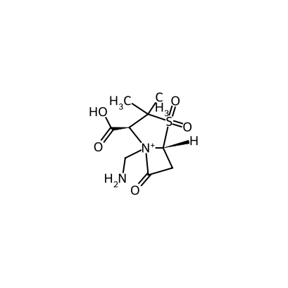 CC1(C)[C@H](C(=O)O)[N+]2(CN)C(=O)C[C@H]2S1(=O)=O